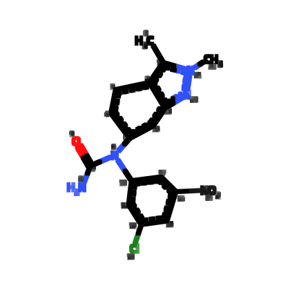 Cc1c2ccc(N(C(N)=O)c3cc(Cl)cc([N+](=O)[O-])c3)cc2nn1C